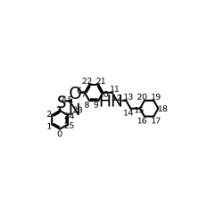 c1ccc2sc(Oc3ccc(CNCCC4CCCCC4)cc3)nc2c1